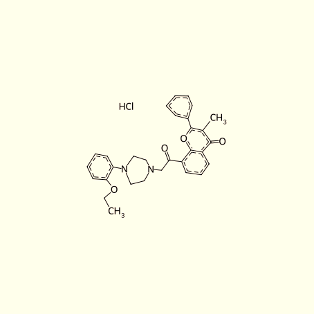 CCOc1ccccc1N1CCN(CC(=O)c2cccc3c(=O)c(C)c(-c4ccccc4)oc23)CC1.Cl